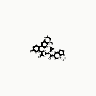 CN1CCOc2cc(-c3ccc(F)cc3-c3nc(N(C(=O)C(CC(=O)O)CC4CCCC4)C4CC4)sc3F)cnc21